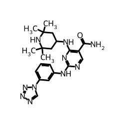 CC1(C)CC(Nc2nc(Nc3cccc(-n4cnnn4)c3)ncc2C(N)=O)CC(C)(C)N1